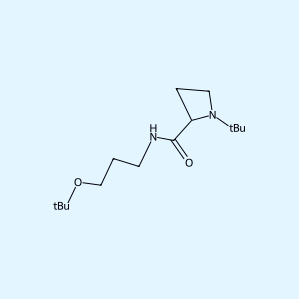 CC(C)(C)OCCCNC(=O)C1CCN1C(C)(C)C